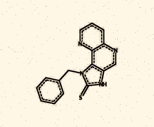 S=c1[nH]c2cnc3cccnc3c2n1Cc1ccccc1